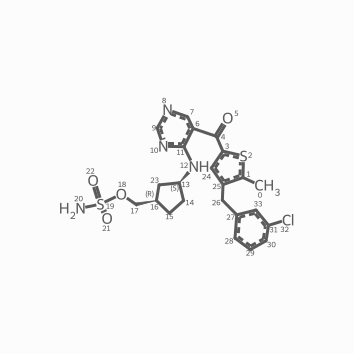 Cc1sc(C(=O)c2cncnc2N[C@H]2CC[C@@H](COS(N)(=O)=O)C2)cc1Cc1cccc(Cl)c1